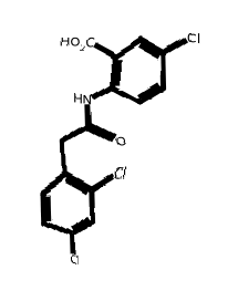 O=C(Cc1ccc(Cl)cc1Cl)Nc1ccc(Cl)cc1C(=O)O